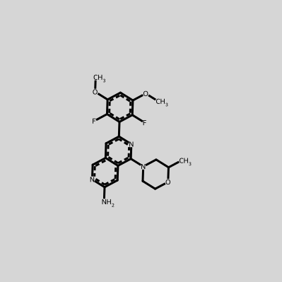 COc1cc(OC)c(F)c(-c2cc3cnc(N)cc3c(N3CCOC(C)C3)n2)c1F